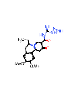 COc1cc2c(cc1OC)-c1cc(=O)c(C(=O)NC(=N)NN=N)cn1C(CC(F)(F)F)C2